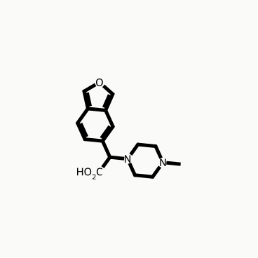 CN1CCN(C(C(=O)O)c2ccc3cocc3c2)CC1